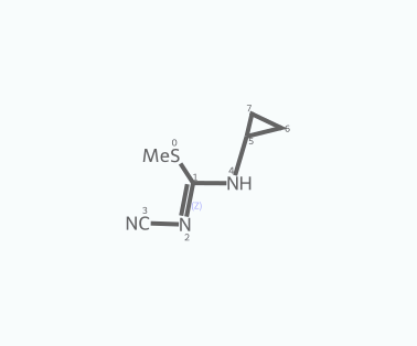 CS/C(=N\C#N)NC1CC1